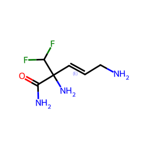 NC/C=C/C(N)(C(N)=O)C(F)F